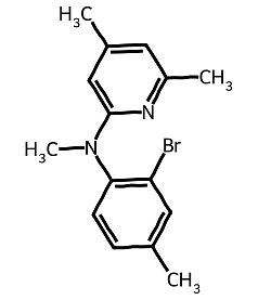 Cc1cc(C)nc(N(C)c2ccc(C)cc2Br)c1